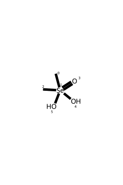 C[Se](C)(=O)(O)O